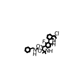 C[C@H]1c2c(cc(F)c(-c3cccc4c(Cl)c[nH]c34)c2F)NC(C)(C)C1OC(=O)NCc1ccccc1